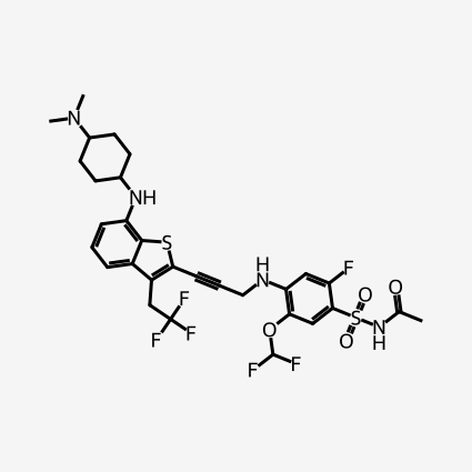 CC(=O)NS(=O)(=O)c1cc(OC(F)F)c(NCC#Cc2sc3c(NC4CCC(N(C)C)CC4)cccc3c2CC(F)(F)F)cc1F